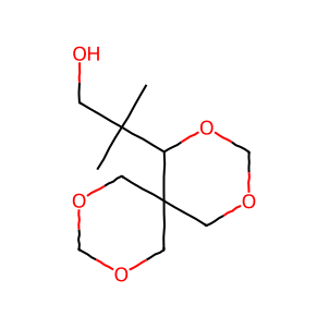 CC(C)(CO)C1OCOCC12COCOC2